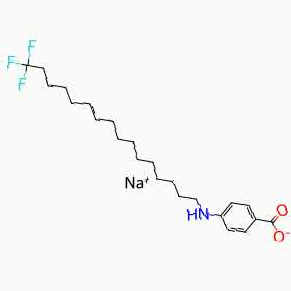 O=C([O-])c1ccc(NCCCCCCCCCCCCCCCC(F)(F)F)cc1.[Na+]